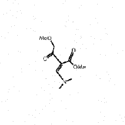 COCC(=O)C(=CN(C)C)C(=O)OC